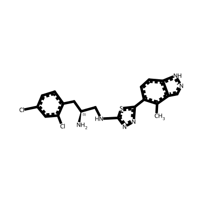 Cc1c(-c2nnc(NC[C@@H](N)Cc3ccc(Cl)cc3Cl)s2)ccc2[nH]ncc12